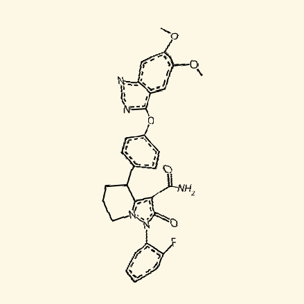 COc1cc2ncnc(Oc3ccc(C4CCCn5c4c(C(N)=O)c(=O)n5-c4ccccc4F)cc3)c2cc1OC